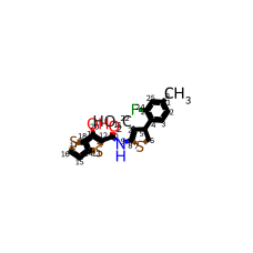 Cc1ccc(C2CSC(NC(=O)c3sc4ccsc4c3O)=C2C(=O)O)c(F)c1